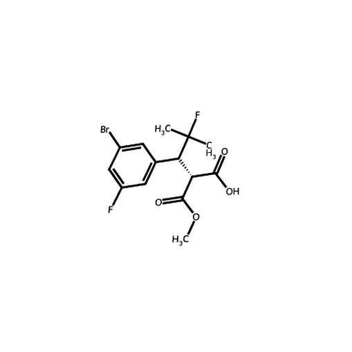 COC(=O)[C@@H](C(=O)O)C(c1cc(F)cc(Br)c1)C(C)(C)F